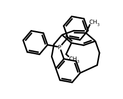 CCc1cc2c(C)cc1CCc1ccc(cc1P(c1ccccc1)c1ccccc1)CC2